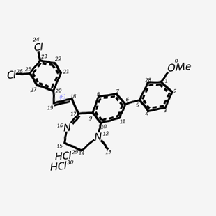 COc1cccc(-c2ccc3c(c2)N(C)CCN=C3/C=C/c2ccc(Cl)c(Cl)c2)c1.Cl.Cl